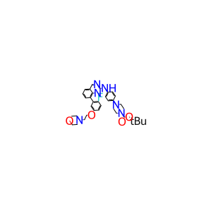 CC(C)(C)OC(=O)N1CCN(c2ccc(Nc3ncc4cccc(-c5cc(OCCN6CCOCC6)ccc5F)c4n3)cc2)CC1